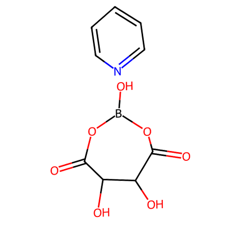 O=C1OB(O)OC(=O)C(O)C1O.c1ccncc1